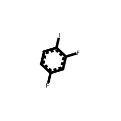 Fc1c[c]c(I)c(F)c1